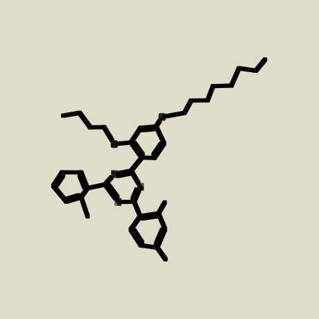 CCCCCCCCOc1ccc(-c2nc(-c3ccccc3C)nc(-c3ccc(C)cc3C)n2)c(OCCCC)c1